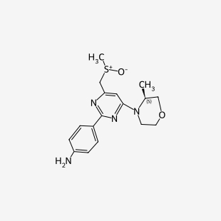 C[C@H]1COCCN1c1cc(C[S+](C)[O-])nc(-c2ccc(N)cc2)n1